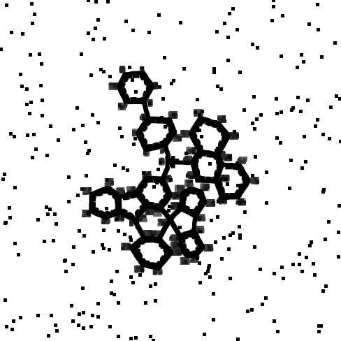 c1ccc(-c2ccc(N(c3cc4c5c(c3)c3ccccc3n5-c3ccccc3C43c4ccccc4-c4ccccc43)c3cc4ccccc4c4ccccc34)cc2)cc1